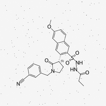 CCC(=O)NNS(=O)(=O)c1cc2ccc(OC)cc2cc1[C@@H]1CCN(Cc2cccc(C#N)c2)C1=O